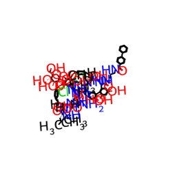 CN[C@H](CC(C)C)C(=O)N[C@H]1C(=O)N[C@@H](CC(N)=O)C(=O)NC2C(=O)N[C@H]3C(=O)N[C@H](C(=O)NC(C(=O)NCCCNC(=O)c4ccc(-c5ccccc5)cc4)c4cc(O)cc(O)c4-c4cc3ccc4O)[C@H](O)c3ccc(c(Cl)c3)Oc3cc2cc(c3O[C@@H]2O[C@H](CO)[C@@H](O)[C@H](O)[C@H]2OC2C[C@](C)(N)[C@H](O)[C@H](C)O2)Oc2ccc(cc2Cl)[C@H]1O